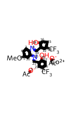 CC(=O)[O-].CC(=O)[O-].COc1ccc(N=Cc2cc(C(F)(F)F)ccc2O)c(N=Cc2cc(C(F)(F)F)ccc2O)c1.[Co+2]